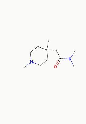 CN1CCC(C)(CC(=O)N(C)C)CC1